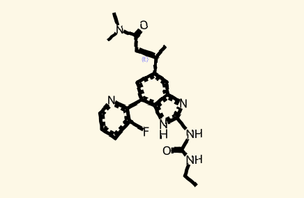 CCNC(=O)Nc1nc2cc(/C(C)=C/C(=O)N(C)C)cc(-c3ncccc3F)c2[nH]1